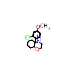 COc1ccc(C23CCCCC2OCCN3)c(Cl)c1